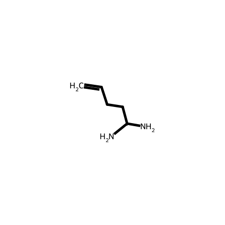 C=CCC[C](N)N